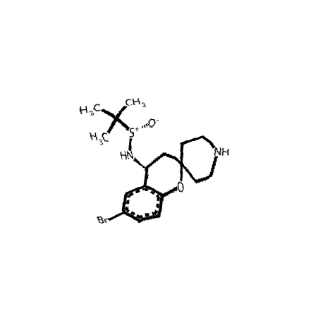 CC(C)(C)[S@+]([O-])N[C@H]1CC2(CCNCC2)Oc2ccc(Br)cc21